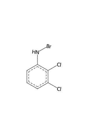 Clc1cccc(NBr)c1Cl